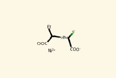 CCCCC(CC)C(=O)[O-].O=C([O-])CF.[Ni+2]